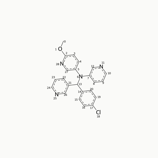 COc1ccc(N(c2cccnc2)C(c2ccc(Cl)cc2)c2cccnc2)cn1